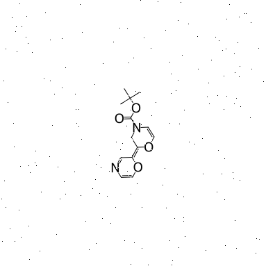 CC(C)(C)OC(=O)N1C=COC(=C2C=NC=CO2)C1